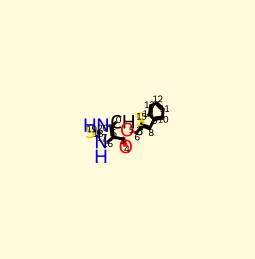 CC1=C(C(=O)OCc2cc3ccccc3s2)CNC(=S)N1